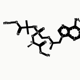 CCCCCCOC(=O)C(C)(C)NP(=O)(CO[C@H](C)Cn1cnc2c(N)ncnc21)O[C@@H](C)C(=O)OC(C)C